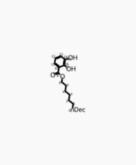 CCCCCCCCCCCCCCCCOC(=O)c1cccc(O)c1O